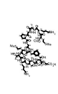 CSCC[C@H](NC=O)C(=O)N[C@@H](CCCCN)C(=O)N[C@@H](C)C(=O)NCC(=O)N1CCC[C@H]1C(=O)NCC(=O)N[C@@H](Cc1ccccc1)C(=O)N[C@@H](CCSC)C(=O)N[C@H](C(=O)N[C@@H](CCCCN)C(=O)N[C@@H](CO)C(=O)NCC(=O)N[C@@H](CO)C(=O)NCC(=O)O)[C@@H](C)O